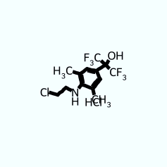 Cc1cc(C(O)(C(F)(F)F)C(F)(F)F)cc(C)c1NCCCl.Cl